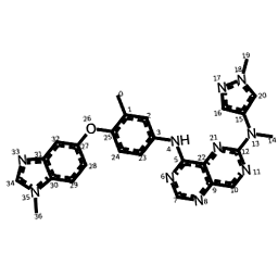 Cc1cc(Nc2ncnc3cnc(N(C)c4cnn(C)c4)nc23)ccc1Oc1ccc2c(c1)ncn2C